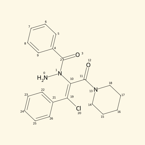 NN(C(=O)c1ccccc1)/C(C(=O)N1CCCCC1)=C(/Cl)c1ccccc1